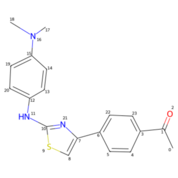 CC(=O)c1ccc(-c2csc(Nc3ccc(N(C)C)cc3)n2)cc1